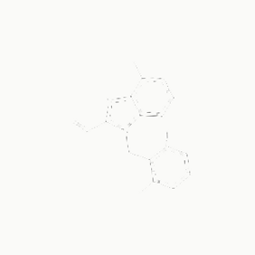 Cc1cccc2c1nc(C=O)n2Cc1c(F)cccc1F